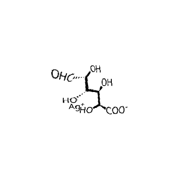 O=C[C@H](O)[C@@H](O)[C@@H](O)[C@H](O)C(=O)[O-].[Ag+]